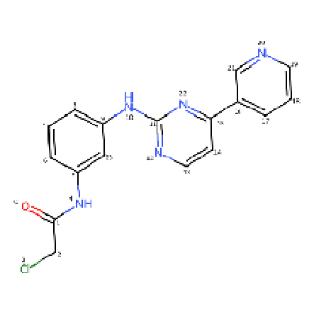 O=C(CCl)Nc1cccc(Nc2nccc(-c3cccnc3)n2)c1